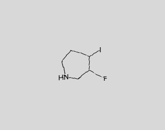 FC1CNCCC1I